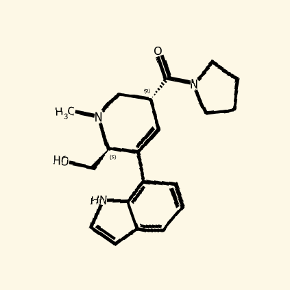 CN1C[C@H](C(=O)N2CCCC2)C=C(c2cccc3cc[nH]c23)[C@H]1CO